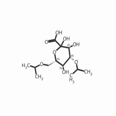 CC(C)OC[C@@H]1OC(O)(C(=O)O)[C@@H](O)[C@H](OC(C)C)[C@H]1O